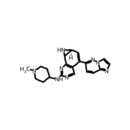 CN1CCC(Nc2ncc3c(n2)C2N[C@H]2C=C3c2ccc3nccn3n2)CC1